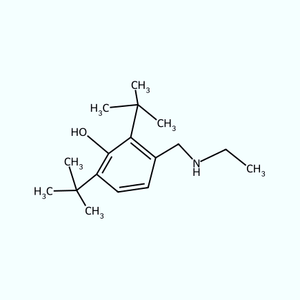 CCNCc1ccc(C(C)(C)C)c(O)c1C(C)(C)C